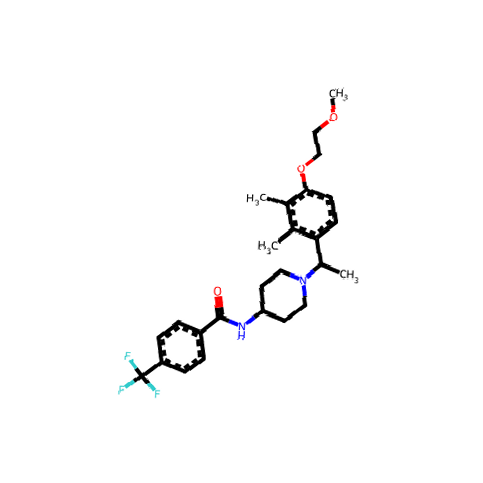 COCCOc1ccc(C(C)N2CCC(NC(=O)c3ccc(C(F)(F)F)cc3)CC2)c(C)c1C